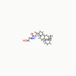 CC[C@H]1CC2C3CCC([C@H](C)CC(=O)NCCO)[C@@]3(C)CCC2[C@@]2(C)CCCC[C@@H]12